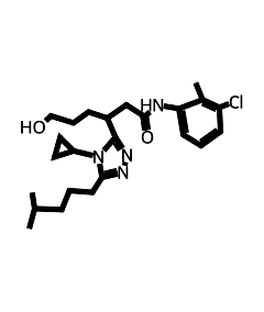 Cc1c(Cl)cccc1NC(=O)CC(CCCO)c1nnc(CCCC(C)C)n1C1CC1